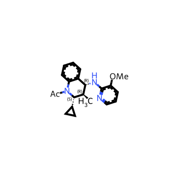 COc1cccnc1N[C@H]1c2ccccc2N(C(C)=O)[C@@H](C2CC2)[C@@H]1C